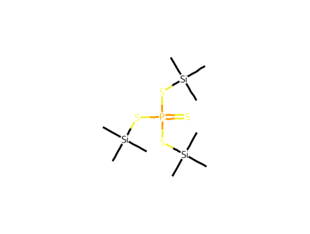 C[Si](C)(C)SP(=S)(S[Si](C)(C)C)S[Si](C)(C)C